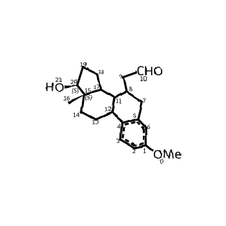 COc1ccc2c(c1)CC(CC=O)C1C2CC[C@@]2(C)C1CC[C@@H]2O